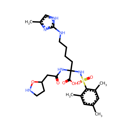 Cc1cc(C)c(S(=O)(=O)NC(CCCCNc2nc(C)c[nH]2)(NC(=O)CC2CCNO2)C(=O)O)c(C)c1